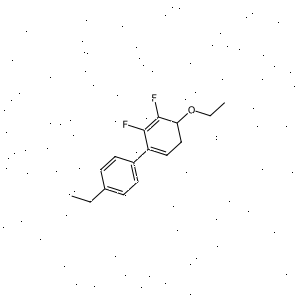 CCOC1CC=C(c2ccc(CC)cc2)C(F)=C1F